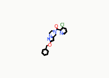 O=C(c1ncccc1Cl)N1CCn2nc(OCc3ccccc3)cc2C1